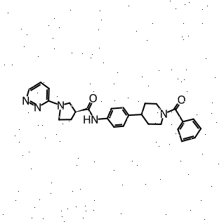 O=C(Nc1ccc(C2CCN(C(=O)c3ccccc3)CC2)cc1)[C@H]1CCN(c2cccnn2)C1